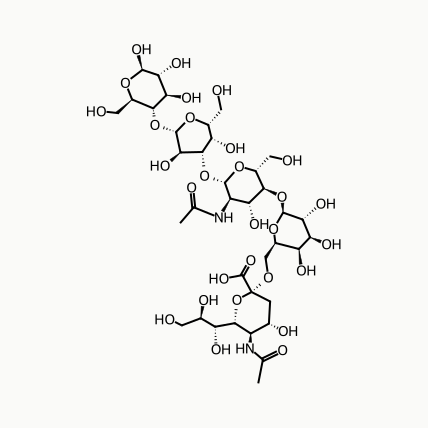 CC(=O)N[C@H]1[C@H](O[C@H]2[C@@H](O)[C@@H](CO)O[C@@H](O[C@H]3[C@H](O)[C@@H](O)[C@H](O)O[C@@H]3CO)[C@@H]2O)O[C@H](CO)[C@@H](O[C@@H]2O[C@H](CO[C@]3(C(=O)O)C[C@H](O)[C@@H](NC(C)=O)[C@H]([C@H](O)[C@H](O)CO)O3)[C@H](O)[C@H](O)[C@H]2O)[C@@H]1O